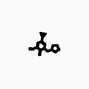 CC(C)(C)c1cc(C2CC2)cn(CC2CCOC2)c1=O